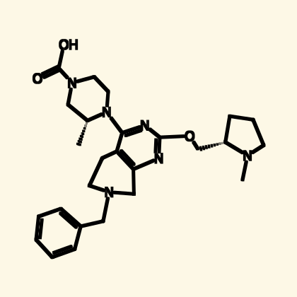 C[C@@H]1CN(C(=O)O)CCN1c1nc(OC[C@@H]2CCCN2C)nc2c1CCN(Cc1ccccc1)C2